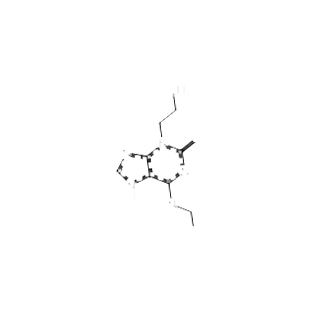 CCCn1c(=S)nc(NCC)c2[nH]cnc21